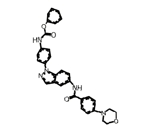 O=C(Nc1ccc(-n2ncc3cc(NC(=O)c4ccc(N5CCOCC5)cc4)ccc32)cc1)Oc1ccccc1